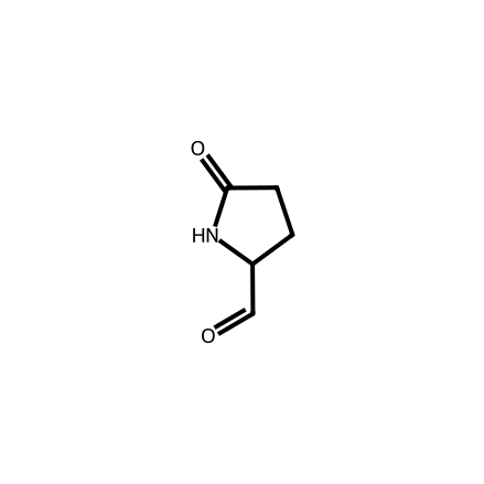 O=CC1CCC(=O)N1